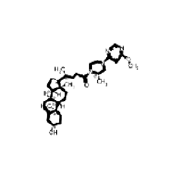 COc1cc(N2CCN(C(=O)CC[C@@H](C)[C@H]3CC[C@H]4[C@@H]5CC=C6C[C@@H](O)CC[C@]6(C)[C@H]5CC[C@]34C)[C@@H](C)C2)ncn1